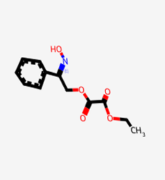 CCOC(=O)C(=O)OC/C(=N/O)c1ccccc1